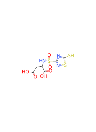 O=C(O)CC(NS(=O)(=O)c1nsc(S)n1)C(=O)O